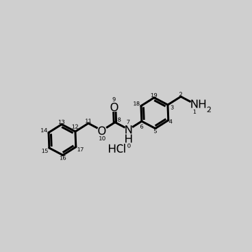 Cl.NCc1ccc(NC(=O)OCc2ccccc2)cc1